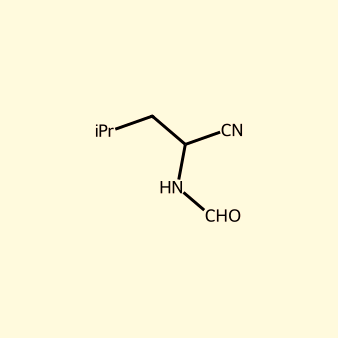 CC(C)CC(C#N)NC=O